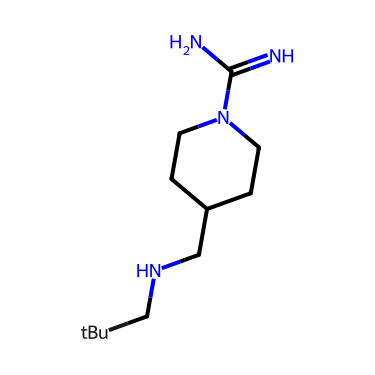 CC(C)(C)CNCC1CCN(C(=N)N)CC1